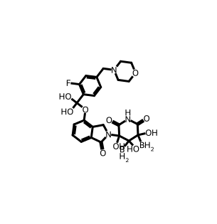 BC1(O)C(=O)NC(=O)C(O)(N2Cc3c(OC(O)(O)c4ccc(CN5CCOCC5)cc4F)cccc3C2=O)C1(B)O